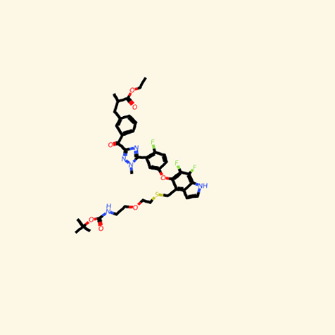 CCOC(=O)C(C)Cc1cccc(C(=O)c2nc(-c3cc(Oc4c(F)c(F)c5[nH]ccc5c4CSCCOCCNC(=O)OC(C)(C)C)ccc3F)n(C)n2)c1